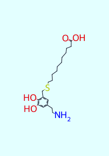 NCCc1cc(O)c(O)c(CSCCCCCCCCCCC(=O)O)c1